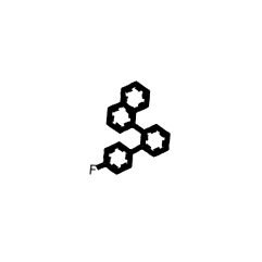 Fc1ccc(-c2ccccc2-c2cccc3ccccc23)cc1